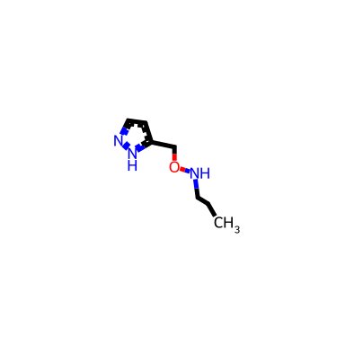 CCCNOCc1ccn[nH]1